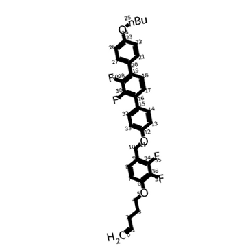 C=CCCCOc1ccc(COc2ccc(-c3ccc(-c4ccc(OCCCC)cc4)c(F)c3F)cc2)c(F)c1F